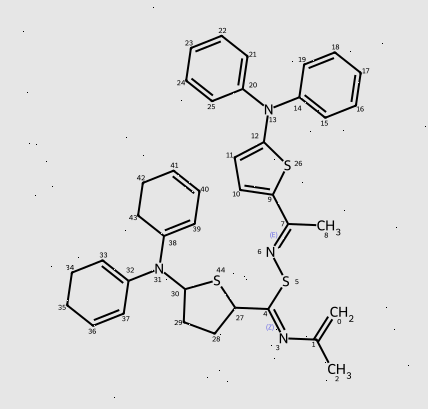 C=C(C)/N=C(\S/N=C(\C)c1ccc(N(c2ccccc2)c2ccccc2)s1)C1CCC(N(C2=CCCC=C2)C2=CC=CCC2)S1